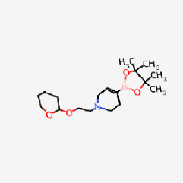 CC1(C)OB(C2=CCN(CCOC3CCCCO3)CC2)OC1(C)C